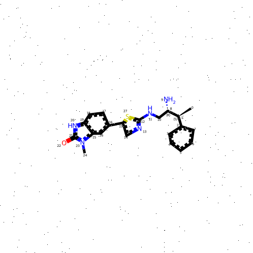 C[C@@H](c1ccccc1)[C@@H](N)CNc1ncc(-c2ccc3[nH]c(=O)n(C)c3c2)s1